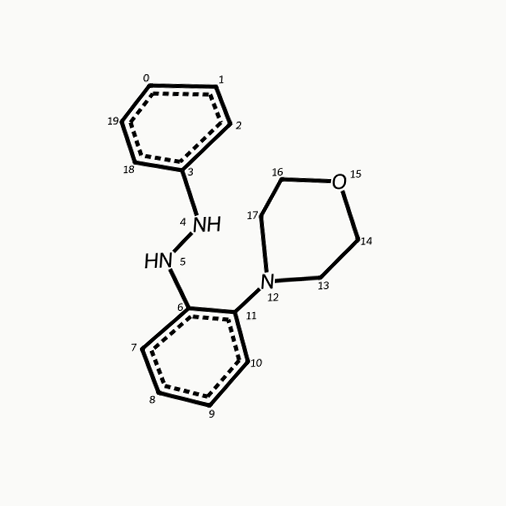 c1ccc(NNc2ccccc2N2CCOCC2)cc1